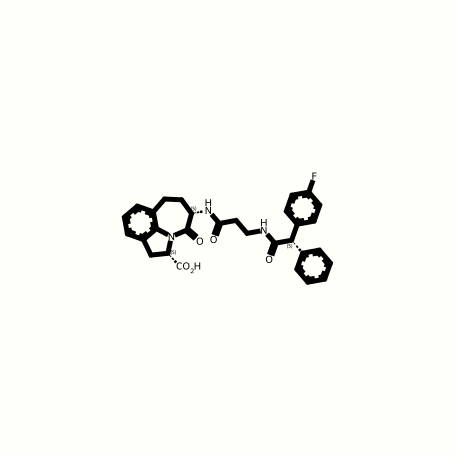 O=C(CCNC(=O)[C@@H](c1ccccc1)c1ccc(F)cc1)N[C@H]1CCc2cccc3c2N(C1=O)[C@H](C(=O)O)C3